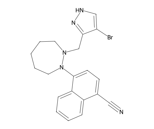 N#Cc1ccc(N2CCCCCN2Cc2n[nH]cc2Br)c2ccccc12